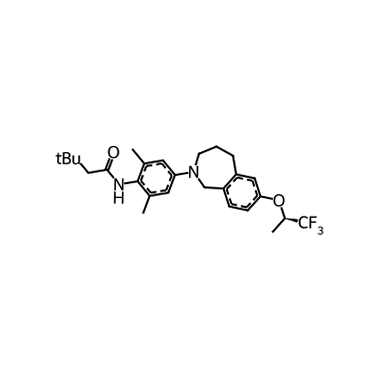 Cc1cc(N2CCCc3cc(O[C@H](C)C(F)(F)F)ccc3C2)cc(C)c1NC(=O)CC(C)(C)C